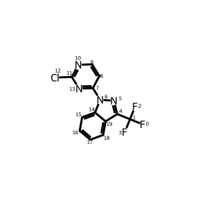 FC(F)(F)c1nn(-c2ccnc(Cl)n2)c2ccccc12